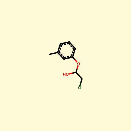 Cc1cccc(OC(O)CCl)c1